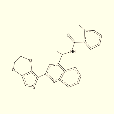 Cc1ccccc1C(=O)NC(C)c1cc(-c2scc3c2OCCO3)nc2ccccc12